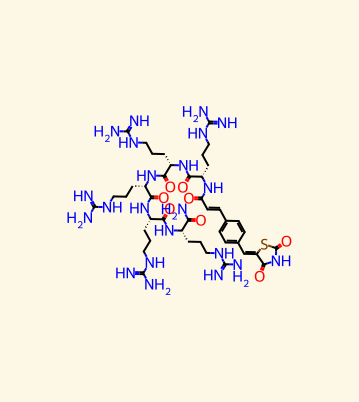 N=C(N)NCCC[C@H](NC(=O)[C@H](CCCNC(=N)N)NC(=O)[C@H](CCCNC(=N)N)NC(=O)[C@H](CCCNC(=N)N)NC(=O)[C@H](CCCNC(=N)N)NC(=O)/C=C/c1ccc(/C=C2\SC(=O)NC2=O)cc1)C(N)=O